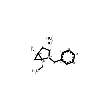 Cl.Cl.NC[C@]12C[C@H]1CCN2Cc1ccccc1